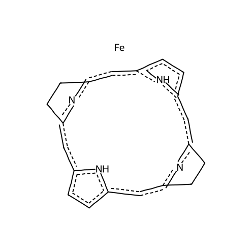 [Fe].c1cc2cc3nc(cc4ccc(cc5nc(cc1[nH]2)CC5)[nH]4)CC3